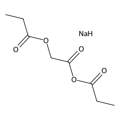 CCC(=O)OCC(=O)OC(=O)CC.[NaH]